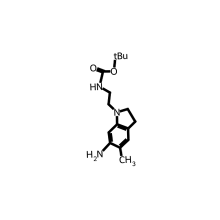 Cc1cc2c(cc1N)N(CCNC(=O)OC(C)(C)C)CC2